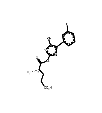 C[C@@H](CCC(=O)O)C(=O)Nc1nc(-c2cccc(F)c2)c(C#N)s1